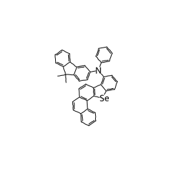 CC1(C)c2ccccc2-c2cc(N(c3ccccc3)c3cccc4[se]c5c(ccc6ccc7ccccc7c65)c34)ccc21